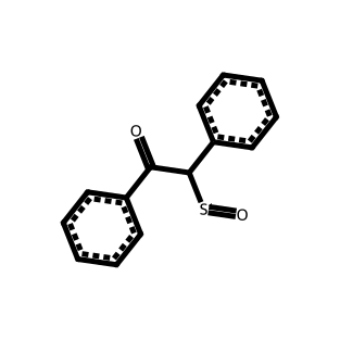 O=[S+]C(C(=O)c1ccccc1)c1ccccc1